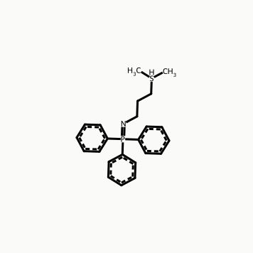 C[SH](C)CCCN=P(c1ccccc1)(c1ccccc1)c1ccccc1